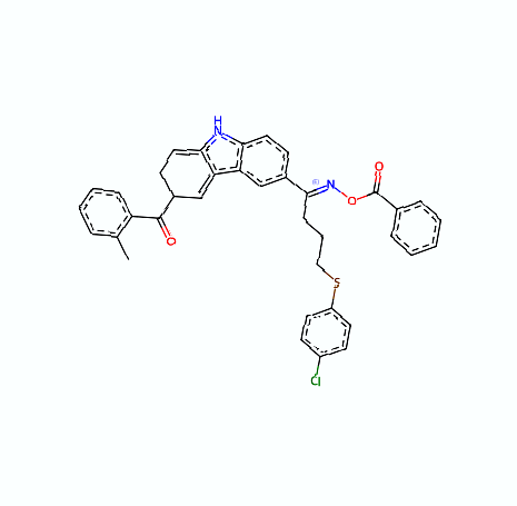 Cc1ccccc1C(=O)C1C=c2c([nH]c3ccc(/C(CCCSc4ccc(Cl)cc4)=N/OC(=O)c4ccccc4)cc23)=CC1